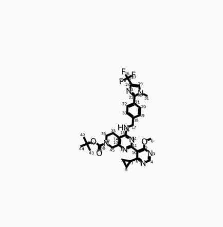 COc1ncnc(C2CC2)c1-c1nc2c(c(NCc3ccc(-c4nc(C(F)(F)F)cn4C)cc3)n1)CCN(C(=O)OC(C)(C)C)C2